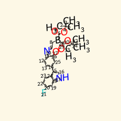 CC(C)(C)OC(=O)B(Cc1nc2ccc(-c3c[nH]c4cc(F)ccc34)cc2o1)C(=O)OC(C)(C)C